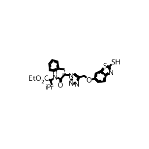 CCOC(=O)C(NC(=O)[C@H](Cc1ccccc1)n1cc(COc2ccc3nc(S)sc3c2)nn1)C(C)C